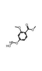 COC(=O)c1ccc(OBO)cc1OC